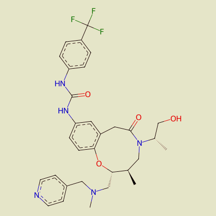 C[C@@H]1CN([C@@H](C)CO)C(=O)Cc2cc(NC(=O)Nc3ccc(C(F)(F)F)cc3)ccc2O[C@H]1CN(C)Cc1ccncc1